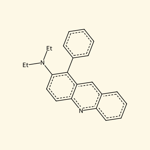 CCN(CC)c1ccc2nc3ccccc3cc2c1-c1ccccc1